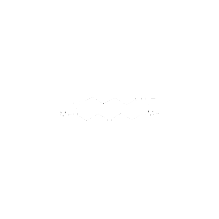 COCCOCCOC.O=C(O)CCCCC(=O)O